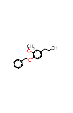 CCCc1ccc(OCc2ccccc2)c(OC)c1